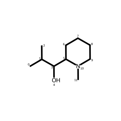 CC(C)C(O)C1CCCCN1C